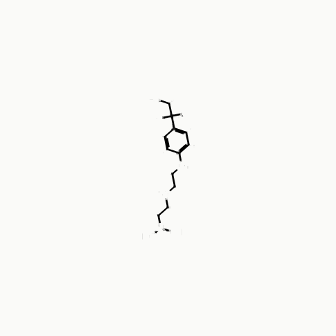 CN(C)CCOCCOc1ccc(C(C)(C)CC(C)(C)C)cc1